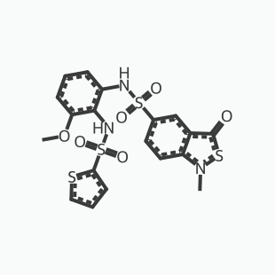 COc1cccc(NS(=O)(=O)c2ccc3c(c2)c(=O)sn3C)c1NS(=O)(=O)c1cccs1